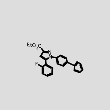 CCOC(=O)c1cc(-c2ccccc2F)n(-c2ccc(-c3ccccc3)cc2)n1